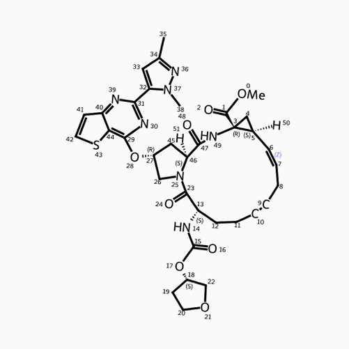 COC(=O)[C@@]12C[C@H]1/C=C\CCCCC[C@H](NC(=O)O[C@H]1CCOC1)C(=O)N1C[C@H](Oc3nc(-c4cc(C)nn4C)nc4ccsc34)C[C@H]1C(=O)N2